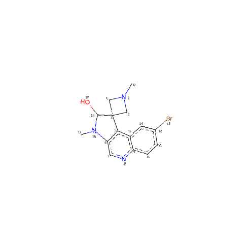 CN1CC2(C1)c1c(cnc3ccc(Br)cc13)N(C)C2O